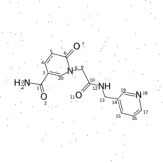 NC(=O)c1ccc(=O)n(CC(=O)NCc2cccnc2)c1